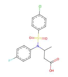 CC(CC(=O)O)N(c1ccc(F)cc1)S(=O)(=O)c1ccc(Cl)cc1